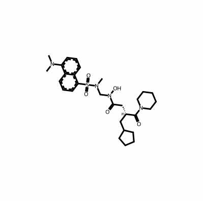 CN(C)c1cccc2c(S(=O)(=O)N(C)CN(O)C(=O)C[C@@H](CC3CCCC3)C(=O)N3CCCCC3)cccc12